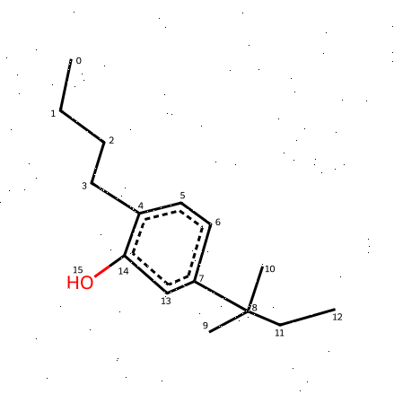 CCCCc1ccc(C(C)(C)CC)cc1O